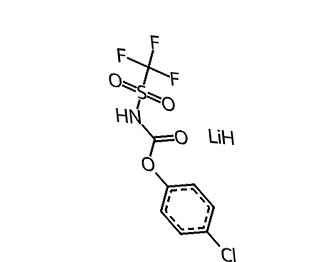 O=C(NS(=O)(=O)C(F)(F)F)Oc1ccc(Cl)cc1.[LiH]